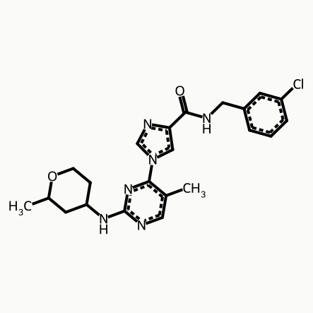 Cc1cnc(NC2CCOC(C)C2)nc1-n1cnc(C(=O)NCc2cccc(Cl)c2)c1